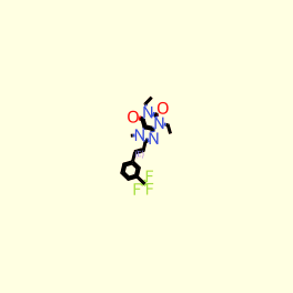 CCn1c(=O)c2c(nc(/C=C/c3cccc(C(F)(F)F)c3)n2C)n(CC)c1=O